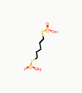 O=[PH](O)SCCCCCS[PH](=O)O